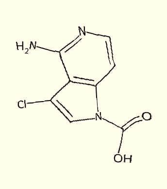 Nc1nccc2c1c(Cl)cn2C(=O)O